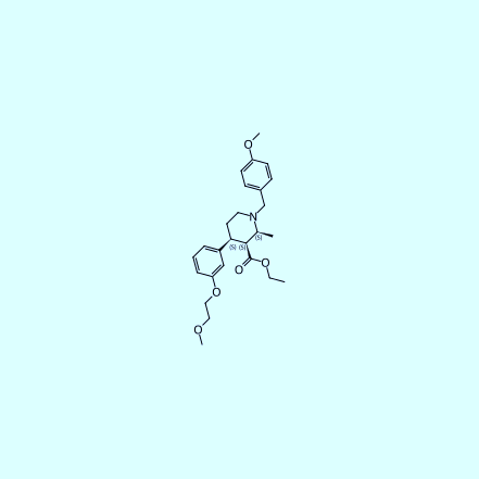 CCOC(=O)[C@H]1[C@@H](c2cccc(OCCOC)c2)CCN(Cc2ccc(OC)cc2)[C@H]1C